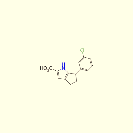 O=C(O)c1cc2c([nH]1)C(c1cccc(Cl)c1)CC2